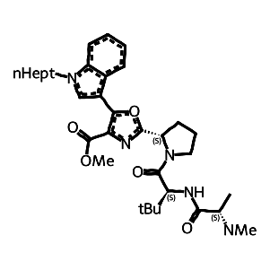 CCCCCCCn1cc(-c2oc([C@@H]3CCCN3C(=O)[C@@H](NC(=O)[C@H](C)NC)C(C)(C)C)nc2C(=O)OC)c2ccccc21